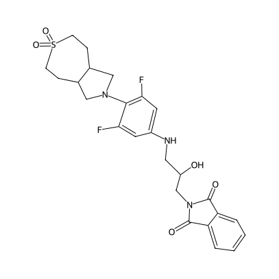 O=C1c2ccccc2C(=O)N1CC(O)CNc1cc(F)c(N2CC3CCS(=O)(=O)CCC3C2)c(F)c1